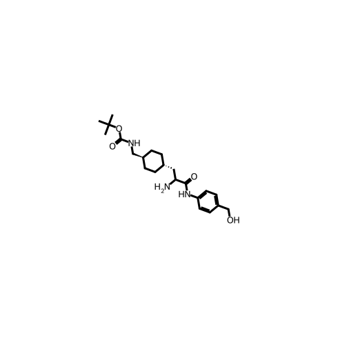 CC(C)(C)OC(=O)NC[C@H]1CC[C@H](CC(N)C(=O)Nc2ccc(CO)cc2)CC1